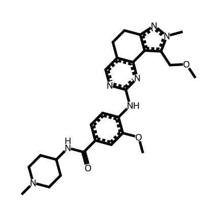 COCc1c2c(nn1C)CCc1cnc(Nc3ccc(C(=O)NC4CCN(C)CC4)cc3OC)nc1-2